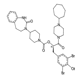 O=C(O[C@H](Cc1cc(Br)c(O)c(Br)c1)C(=O)N1CCN(C2CCCCCC2)CC1)N1CCC(N2CCc3ccccc3NC2=O)CC1